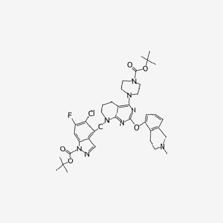 CN1CCc2c(cccc2Oc2nc(N3CCN(C(=O)OC(C)(C)C)CC3)c3c(n2)N(Cc2c(Cl)c(F)cc4c2cnn4C(=O)OC(C)(C)C)CCC3)C1